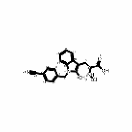 Cc1c(C[C@H](NCl)C(=O)O)c2ccccc2n1Cc1ccc(C#N)cc1